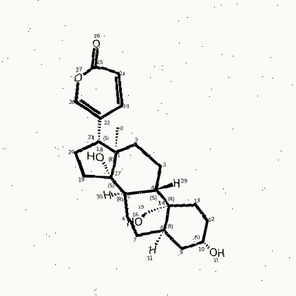 C[C@]12CC[C@H]3[C@@H](CC[C@@H]4C[C@@H](O)CC[C@@]43CO)[C@@]1(O)CC[C@@H]2c1ccc(=O)oc1